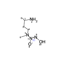 CC(N)CCN(C)/[N+]([O-])=N/O